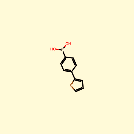 OB(O)c1ccc(-c2cccs2)cc1